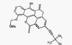 COCOc1cccc2c(O)c3c(=O)oc4cc(C#C[Si](C)(C)C)cc5c(=O)oc(c12)c3c45